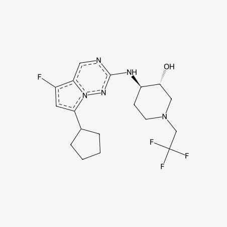 O[C@@H]1CN(CC(F)(F)F)CC[C@H]1Nc1ncc2c(F)cc(C3CCCC3)n2n1